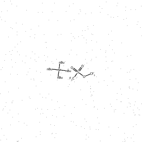 CCCC[N+](CCCC)(CCCC)CCCC.O=S(=O)(OC(F)(F)F)C(F)(F)F